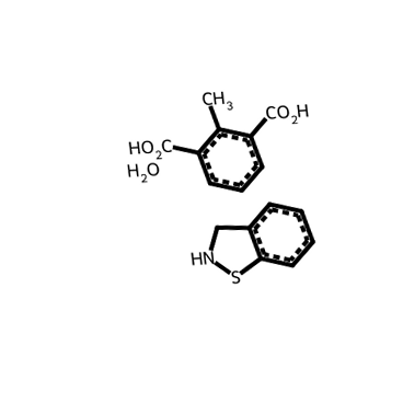 Cc1c(C(=O)O)cccc1C(=O)O.O.c1ccc2c(c1)CNS2